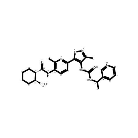 Cc1nc(-c2onc(C)c2NC(=O)OC(C)c2cccnc2)ccc1NC(=O)[C@H]1CCCC[C@@H]1C(=O)O